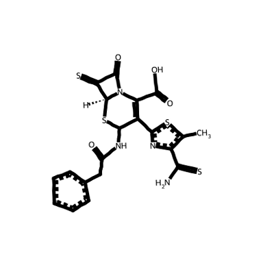 Cc1sc(C2=C(C(=O)O)N3C(=O)C(=S)[C@@H]3SC2NC(=O)Cc2ccccc2)nc1C(N)=S